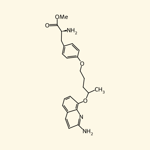 COC(=O)[C@@H](N)Cc1ccc(OCCCC(C)Oc2cccc3ccc(N)nc23)cc1